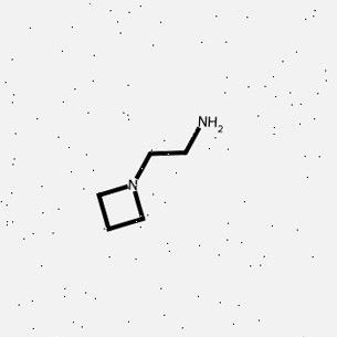 NCCN1C[CH]C1